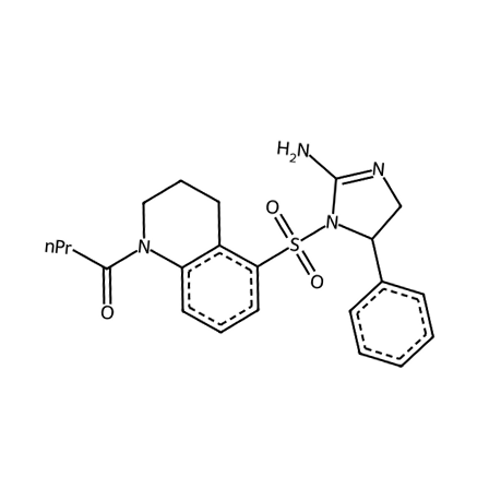 CCCC(=O)N1CCCc2c1cccc2S(=O)(=O)N1C(N)=NCC1c1ccccc1